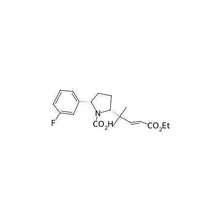 CCOC(=O)/C=C/C(C)(C)[C@H]1CC[C@@H](c2cccc(F)c2)N1C(=O)O